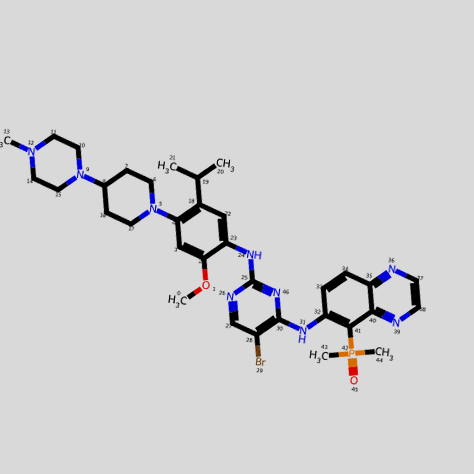 COc1cc(N2CCC(N3CCN(C)CC3)CC2)c(C(C)C)cc1Nc1ncc(Br)c(Nc2ccc3nccnc3c2P(C)(C)=O)n1